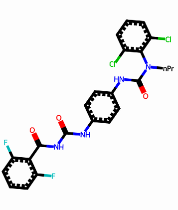 CCCN(C(=O)Nc1ccc(NC(=O)NC(=O)c2c(F)cccc2F)cc1)c1c(Cl)cccc1Cl